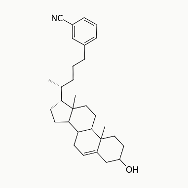 C[C@H](CCCc1cccc(C#N)c1)[C@H]1CCC2C3CC=C4CC(O)CCC4(C)C3CCC21C